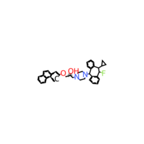 O[C@@H](COc1ccc2c(ccc3ccccc32)c1)CN1CCN(C2c3ccccc3C(F)C(C3CC3)c3ccccc32)CC1